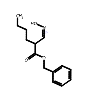 CCCCC(/C=N\O)C(=O)OCc1ccccc1